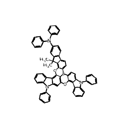 CC1(C)c2cc(N(c3ccccc3)c3ccccc3)ccc2-c2ccc3c(c21)Oc1c2c(cc4c1c1ccccc1n4-c1ccccc1)Oc1c(ccc4c1c1ccccc1n4-c1ccccc1)B32